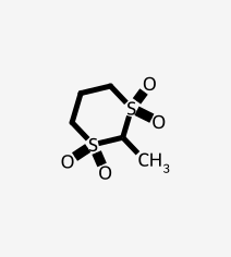 CC1S(=O)(=O)CCCS1(=O)=O